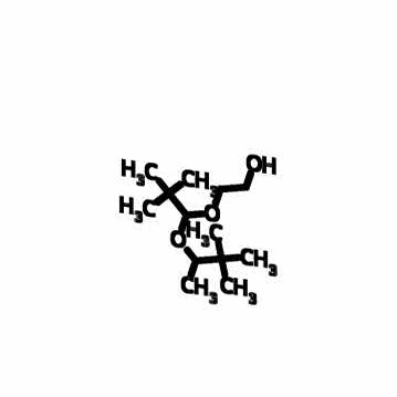 CC(OC(OCCO)C(C)(C)C)C(C)(C)C